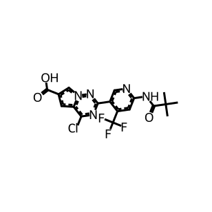 CC(C)(C)C(=O)Nc1cc(C(F)(F)F)c(-c2nc(Cl)c3cc(C(=O)O)cn3n2)cn1